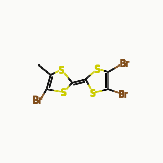 CC1=C(Br)SC(=C2SC(Br)=C(Br)S2)S1